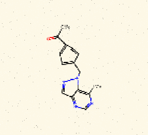 COC(=O)c1ccc(Cn2ncc3ncnc(SC)c32)cc1